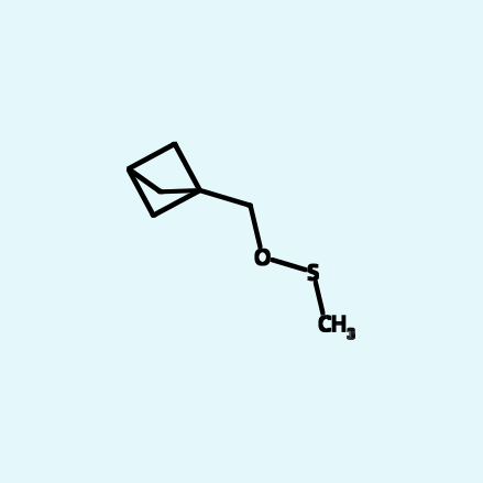 CSOCC12CC(C1)C2